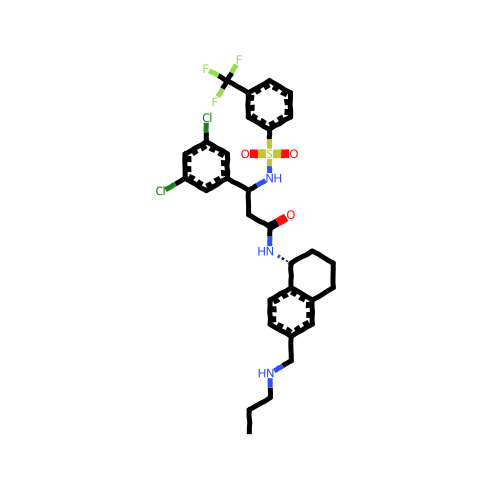 CCCNCc1ccc2c(c1)CCC[C@H]2NC(=O)CC(NS(=O)(=O)c1cccc(C(F)(F)F)c1)c1cc(Cl)cc(Cl)c1